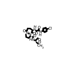 CC(=O)C[C@@H](C=O)NC(=O)[C@@H]1CCCN2C(=O)CC[C@H](NC(=O)C(=O)Nc3ccc(Cl)cc3)C(=O)N12